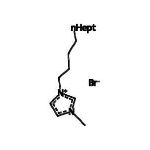 CCCCCCCCCCC[n+]1ccn(C)c1.[Br-]